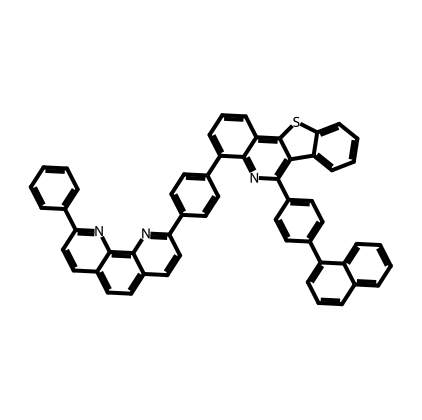 c1ccc(-c2ccc3ccc4ccc(-c5ccc(-c6cccc7c6nc(-c6ccc(-c8cccc9ccccc89)cc6)c6c8ccccc8sc76)cc5)nc4c3n2)cc1